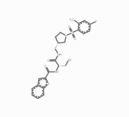 CC(C)C[C@H](NC(=O)c1cc2ccccc2s1)C(=O)NC[C@@H]1CCN(S(=O)(=O)c2ccc(F)cc2C(F)(F)F)C1